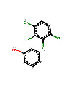 Clc1ccc(Cl)c(Cl)c1Cl.Oc1ccccc1